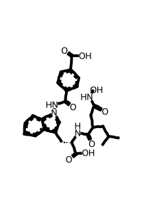 CC(C)CC(CC(=O)NO)C(=O)N[C@@H](Cc1cn(NC(=O)c2ccc(C(=O)O)cc2)c2ccccc12)C(=O)O